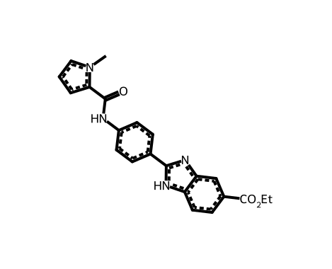 CCOC(=O)c1ccc2[nH]c(-c3ccc(NC(=O)c4cccn4C)cc3)nc2c1